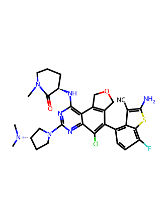 CN1CCC[C@@H](Nc2nc(N3CC[C@H](N(C)C)C3)nc3c(Cl)c(-c4ccc(F)c5sc(N)c(C#N)c45)c4c(c23)COC4)C1=O